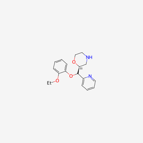 CCOc1ccccc1OC(c1ccccn1)[C@@H]1CNCCO1